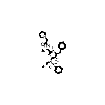 CC[C@H](C)[C@H](NC(=O)CN1CCCC1)C(=O)N[C@@H](Cc1ccccc1)[C@H](O)CN(CC(C)C)S(=O)(=O)c1ccccc1